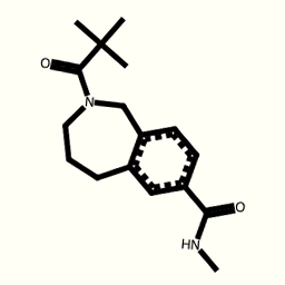 CNC(=O)c1ccc2c(c1)CCCN(C(=O)C(C)(C)C)C2